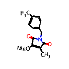 COC1=C(C)C(=O)N(Cc2ccc(C(F)(F)F)cc2)C1=O